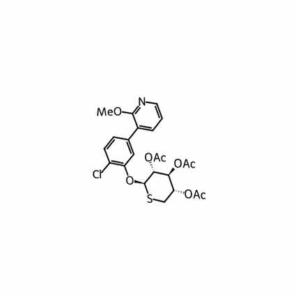 COc1ncccc1-c1ccc(Cl)c(O[C@@H]2SC[C@@H](OC(C)=O)[C@H](OC(C)=O)[C@H]2OC(C)=O)c1